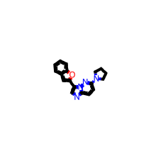 c1ccc2oc(-c3cnc4ccc(N5CCCC5)nn34)cc2c1